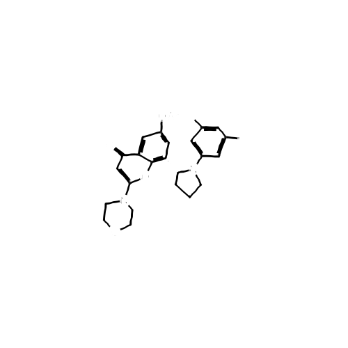 CC(=O)Oc1cc([C@H]2CCCN2c2cc(F)cc(F)c2)c2oc(N3CCOCC3)cc(=O)c2c1